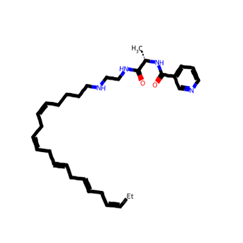 CC/C=C\CC=CCC=CC/C=C\C/C=C\CCCCNCCNC(=O)[C@H](C)NC(=O)c1cccnc1